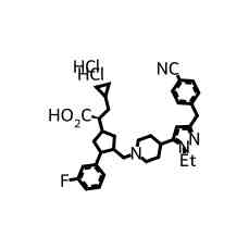 CCn1nc(Cc2ccc(C#N)cc2)cc1C1CCN(CC2CC([C@H](CC3CC3)C(=O)O)CC2c2cccc(F)c2)CC1.Cl.Cl